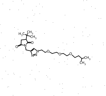 CC(C)CCOCCOCCOCCn1cc(CN2C(=O)CC(C(C)(C)C)C2=O)nn1